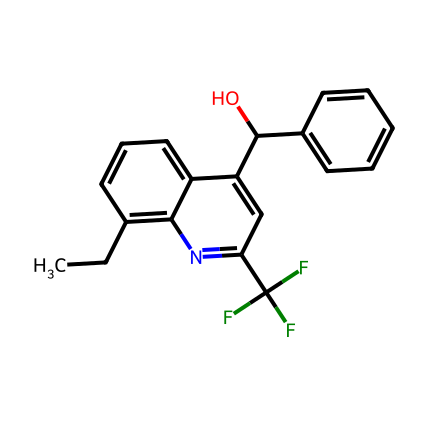 CCc1cccc2c(C(O)c3ccccc3)cc(C(F)(F)F)nc12